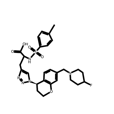 Cc1ccc(S(=O)(=O)NC(Cc2cn([C@@H]3CCOc4cc(CN5CCC(F)CC5)ccc43)nn2)C(=O)O)cc1